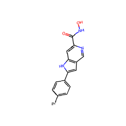 CC(C)c1ccc(-c2cc3cnc(C(=O)NO)cc3[nH]2)cc1